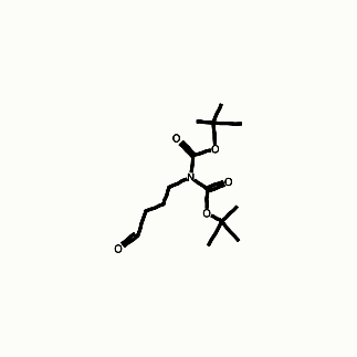 CC(C)(C)OC(=O)N(CCCC=O)C(=O)OC(C)(C)C